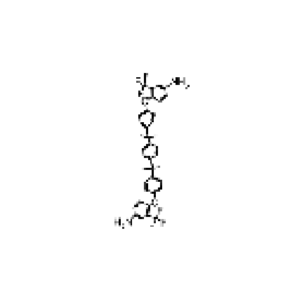 CC(C)(c1ccc(Oc2ccc(N)cc2C(F)(F)F)cc1)c1ccc(C(C)(C)c2ccc(Oc3ccc(N)cc3C(F)(F)F)cc2)cc1